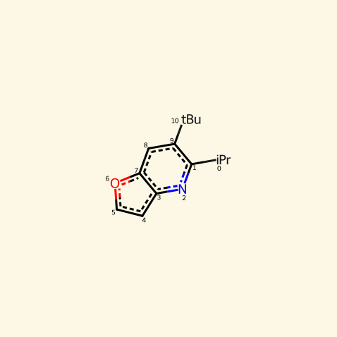 CC(C)c1nc2ccoc2cc1C(C)(C)C